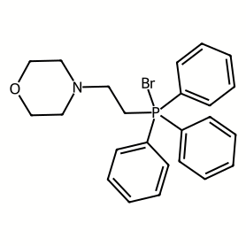 BrP(CCN1CCOCC1)(c1ccccc1)(c1ccccc1)c1ccccc1